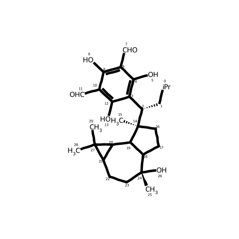 CC(C)C[C@@H](c1c(O)c(C=O)c(O)c(C=O)c1O)[C@@]1(C)CCC2C1C1C(CC[C@@]2(C)O)C1(C)C